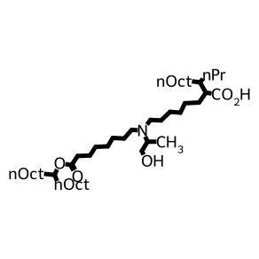 CCCCCCCCC(CCCCCCCC)OC(=O)CCCCCCCN(CCCCCCC(C(=O)O)C(CCC)CCCCCCCC)C(C)CO